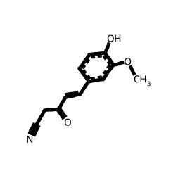 COc1cc(C=CC(=O)CC#N)ccc1O